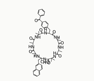 CC1NC(=O)C(C)(C)NC(=O)C(Cc2ccc(C(=O)c3ccccc3)cc2)NC(=O)C(C)(C)NC(=O)C(C)NC(=O)C(C)(C)NC(C=O)(Cc2ccc3ccccc3c2)NC(=O)C(C)(C)NC1=O